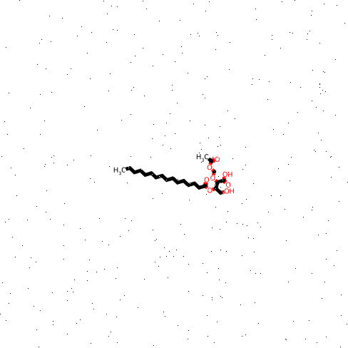 CCCCCCCCCCCCCCCC(=O)OC(CO)C(OCOC(C)=O)C(=O)O